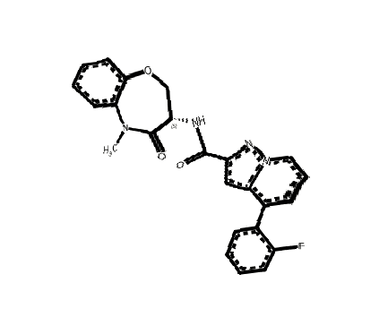 CN1C(=O)[C@@H](NC(=O)c2cc3c(-c4ccccc4F)cccn3n2)COc2ccccc21